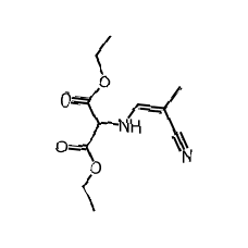 CCOC(=O)C(NC=C(C)C#N)C(=O)OCC